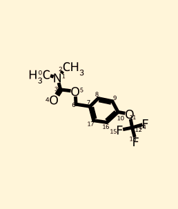 CN(C)C(=O)OCc1ccc(OC(F)(F)F)cc1